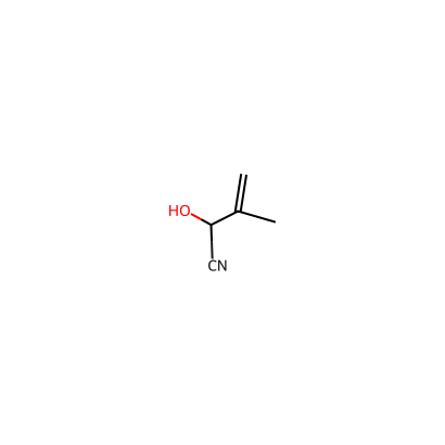 C=C(C)C(O)C#N